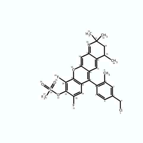 Cc1cc(CCl)ccc1C1=c2cc3c(cc2Oc2c1cc(F)c(OS(=O)(=O)C(F)(F)F)c2F)=NC(C)(C)CC3C